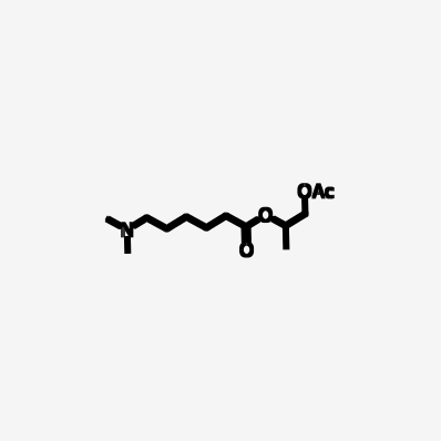 CC(=O)OCC(C)OC(=O)CCCCCN(C)C